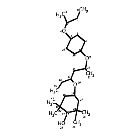 CCC(C)OC1CCC(OC(C)CC(CC)OC2CC(C)(C)N(O)C(C)(C)C2)CC1